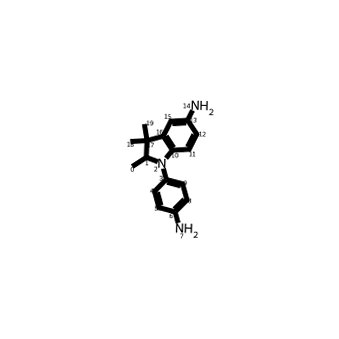 CC1N(c2ccc(N)cc2)c2ccc(N)cc2C1(C)C